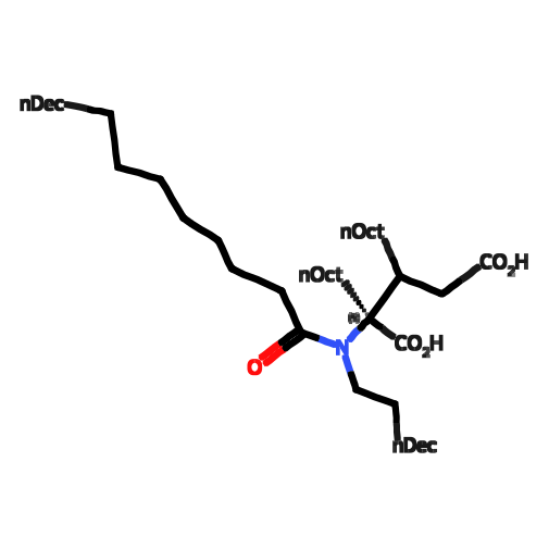 CCCCCCCCCCCCCCCCCC(=O)N(CCCCCCCCCCCC)[C@](CCCCCCCC)(C(=O)O)C(CCCCCCCC)CC(=O)O